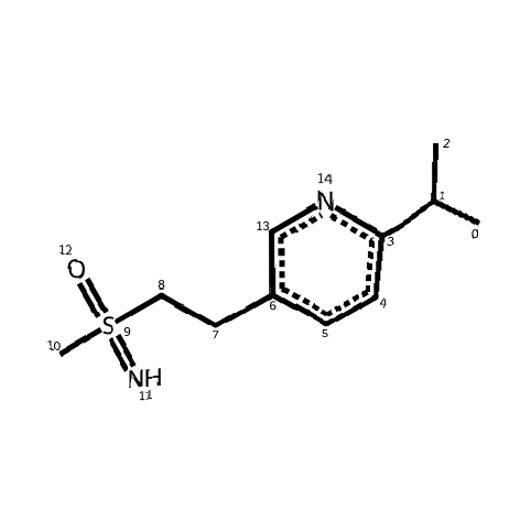 CC(C)c1ccc(CCS(C)(=N)=O)cn1